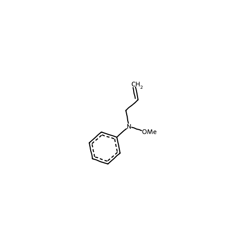 C=CCN(OC)c1ccccc1